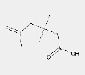 C=C(C)CC(C)(C)CC(=O)O